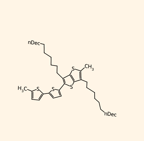 CCCCCCCCCCCCCCCCc1c(C)sc2c(CCCCCCCCCCCCCCCC)c(-c3ccc(-c4ccc(C)s4)s3)sc12